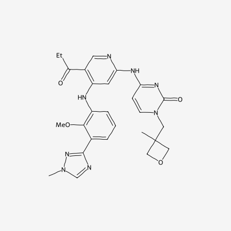 CCC(=O)c1cnc(Nc2ccn(CC3(C)COC3)c(=O)n2)cc1Nc1cccc(-c2ncn(C)n2)c1OC